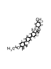 CCOc1ccc(-c2ccc(-c3ccc(C(F)(F)OC4CCC(C)CC4)c(F)c3)cc2)c(F)c1F